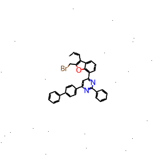 C/C=C\c1c(CBr)oc2c(-c3cc(-c4ccc(-c5ccccc5)cc4)nc(-c4ccccc4)n3)cccc12